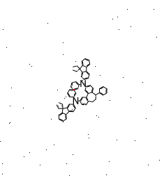 CCC1(CC)c2ccccc2-c2ccc(N(c3ccccc3)c3ccc4c(c3)-c3cc(N(c5ccccc5)c5ccc6c(c5)C(CC)(CC)c5ccccc5-6)ccc3C(c3ccccc3)CC4)cc21